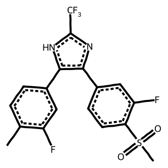 Cc1ccc(-c2[nH]c(C(F)(F)F)nc2-c2ccc(S(C)(=O)=O)c(F)c2)cc1F